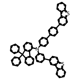 c1ccc(C2(c3ccccc3)c3ccccc3-c3c(N(c4ccc(-c5ccc(-c6ccc7sc8ccccc8c7c6)cc5)cc4)c4cccc(-c5ccc6sc7ccccc7c6c5)c4)cccc32)cc1